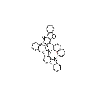 c1ccc(-c2nc(-c3ccccc3-n3c4ccccc4c4ccc5c6ccccc6n(-c6ccccc6)c5c43)c3oc4ccccc4c3n2)cc1